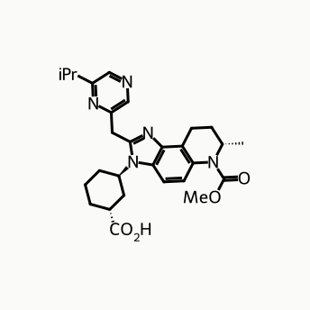 COC(=O)N1c2ccc3c(nc(Cc4cncc(C(C)C)n4)n3[C@@H]3CCC[C@@H](C(=O)O)C3)c2CC[C@@H]1C